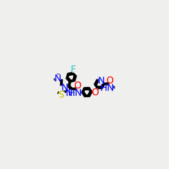 CNC(=O)c1cc(Oc2ccc(NC(=O)c3nc(SC)n(CCN(C)C)c3-c3ccc(F)cc3)cc2)ccn1